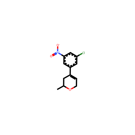 CC1CC(c2cc(Cl)cc([N+](=O)[O-])c2)=CCO1